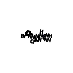 CN/C=C(\C=N)Nc1ncc(Cl)c(NCc2cccc(Br)c2)n1